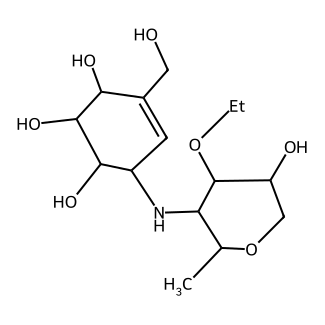 CCOC1C(O)COC(C)C1NC1C=C(CO)C(O)C(O)C1O